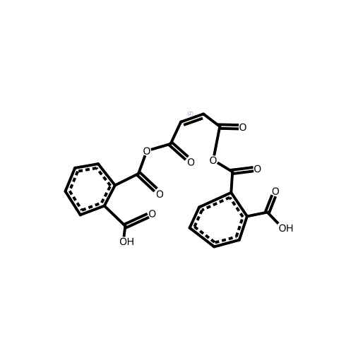 O=C(/C=C\C(=O)OC(=O)c1ccccc1C(=O)O)OC(=O)c1ccccc1C(=O)O